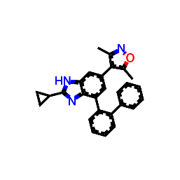 Cc1noc(C)c1-c1cc(-c2ccccc2-c2ccccc2)c2nc(C3CC3)[nH]c2c1